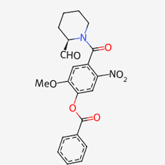 COc1cc(C(=O)N2CCCC[C@@H]2C=O)c([N+](=O)[O-])cc1OC(=O)c1ccccc1